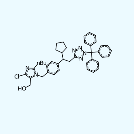 CCCCc1nc(Cl)c(CO)n1Cc1ccc(C(Cc2nnn(C(c3ccccc3)(c3ccccc3)c3ccccc3)n2)C2CCCC2)cc1